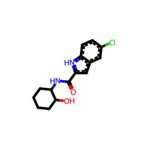 O=C(NC1CCCCC1O)c1cc2cc(Cl)ccc2[nH]1